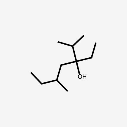 CCC(C)CC(O)(CC)C(C)C